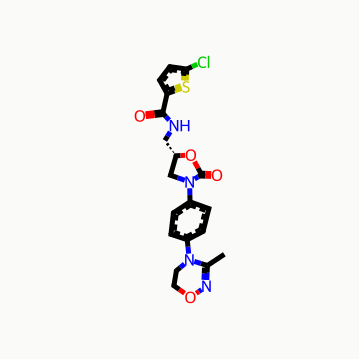 CC1=NOCCN1c1ccc(N2C[C@H](CNC(=O)c3ccc(Cl)s3)OC2=O)cc1